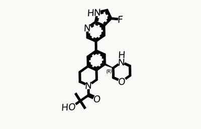 CC(C)(O)C(=O)N1CCc2cc(-c3cnc4[nH]cc(F)c4c3)cc([C@@H]3COCCN3)c2C1